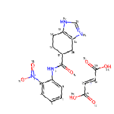 O=C(Nc1ccccc1[N+](=O)[O-])C1CCc2[nH]cnc2C1.O=C(O)/C=C/C(=O)O